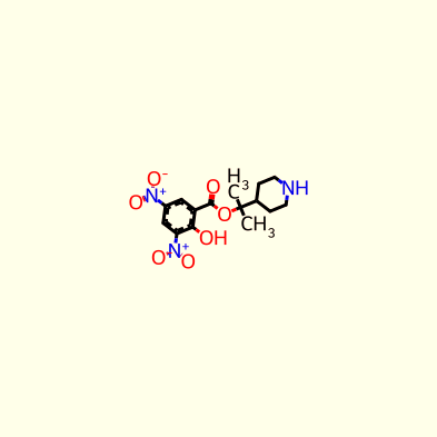 CC(C)(OC(=O)c1cc([N+](=O)[O-])cc([N+](=O)[O-])c1O)C1CCNCC1